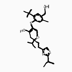 Cc1cc(SC2=C(O)CC(CCc3csc(C(C)C)n3)(C(C)C)OC2)c(C(C)(C)C)cc1CO